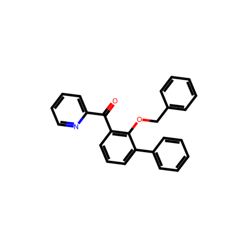 O=C(c1ccccn1)c1cccc(-c2ccccc2)c1OCc1ccccc1